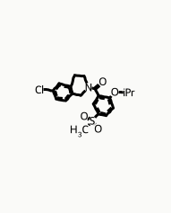 CC(C)Oc1ccc(S(C)(=O)=O)cc1C(=O)N1CCc2cc(Cl)ccc2C1